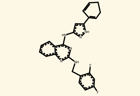 Fc1ccc(CNc2nc(Nc3cc(C4=CCCC=C4)[nH]n3)c3ccccc3n2)c(F)c1